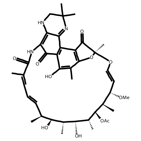 CO[C@H]1/C=C/O[C@@]2(C)Oc3c(C)c(O)c4c(c3C2=O)C2=NC(C)(C)CNC2=C(NC(=O)/C(C)=C\C=C\[C@H](C)[C@H](O)[C@@H](C)[C@@H](O)[C@@H](C)[C@H](OC(C)=O)[C@@H]1C)C4=O